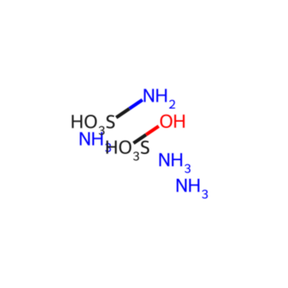 N.N.N.NS(=O)(=O)O.O=S(=O)(O)O